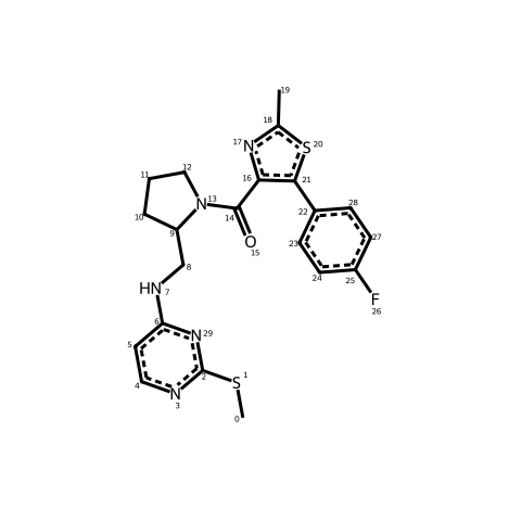 CSc1nccc(NCC2CCCN2C(=O)c2nc(C)sc2-c2ccc(F)cc2)n1